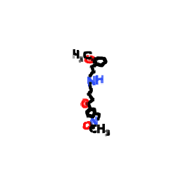 COc1ccccc1CCCNCCCCC(=O)c1ccc2c(c1)CCN2C(C)=O